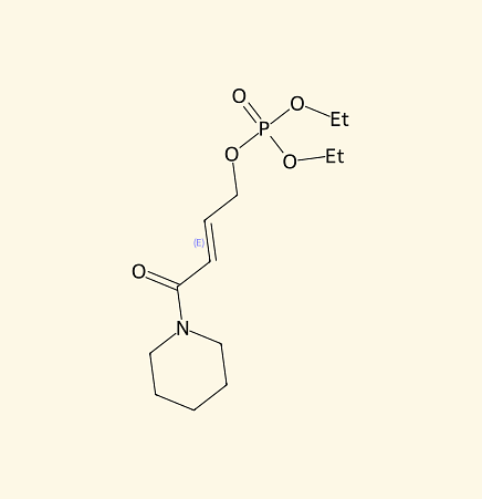 CCOP(=O)(OCC)OC/C=C/C(=O)N1CCCCC1